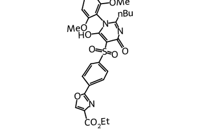 CCCCc1nc(=O)c(S(=O)(=O)c2ccc(-c3nc(C(=O)OCC)co3)cc2)c(O)n1-c1c(OC)cccc1OC